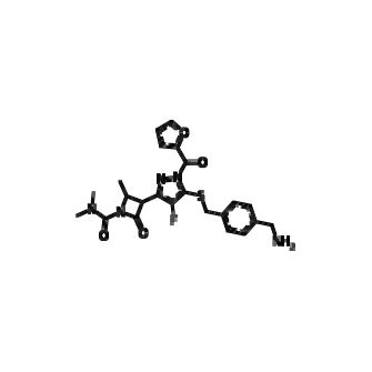 CC1C(c2nn(C(=O)c3ccco3)c(SCc3ccc(CN)cc3)c2F)C(=O)N1C(=O)N(C)C